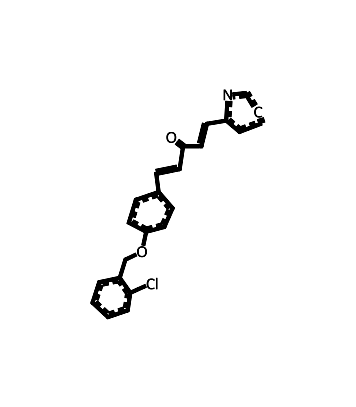 O=C(C=Cc1ccc(OCc2ccccc2Cl)cc1)C=Cc1ccccn1